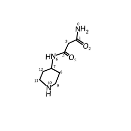 NC(=O)CC(=O)NC1CCNCC1